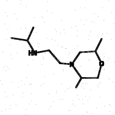 CC(C)NCCN1CC(C)OCC1C